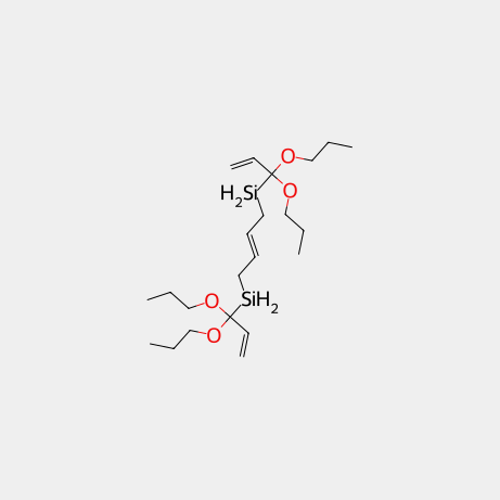 C=CC(OCCC)(OCCC)[SiH2]CC=CC[SiH2]C(C=C)(OCCC)OCCC